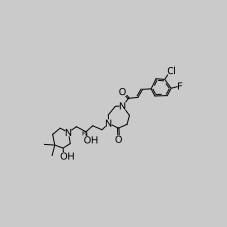 CC1(C)CCN(C[C@H](O)CCN2CCN(C(=O)C=Cc3ccc(F)c(Cl)c3)CCC2=O)CC1O